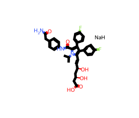 CC(C)n1c(/C=C/[C@@H](O)C[C@@H](O)CC(=O)O)c(-c2ccc(F)cc2)c(-c2ccc(F)cc2)c1C(=O)Nc1ccc(CC(N)=O)cc1.[NaH]